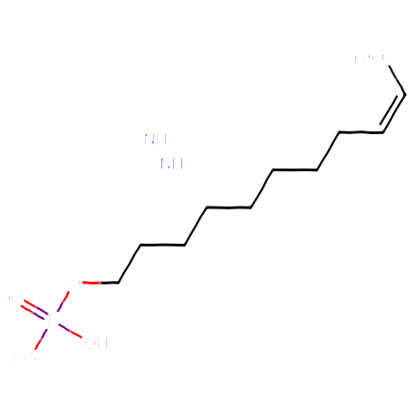 CCCCCCCC/C=C\CCCCCCCCOP(=O)(O)O.N.N